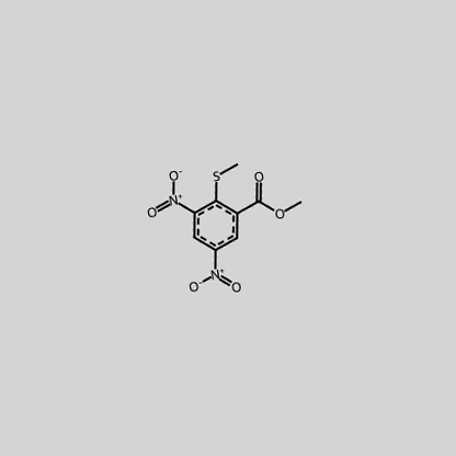 COC(=O)c1cc([N+](=O)[O-])cc([N+](=O)[O-])c1SC